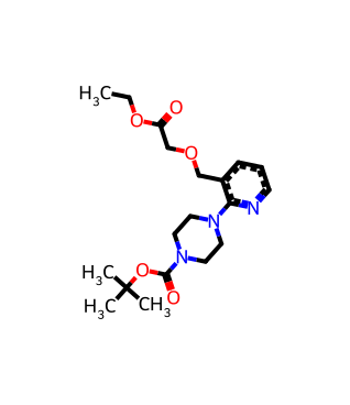 CCOC(=O)COCc1cccnc1N1CCN(C(=O)OC(C)(C)C)CC1